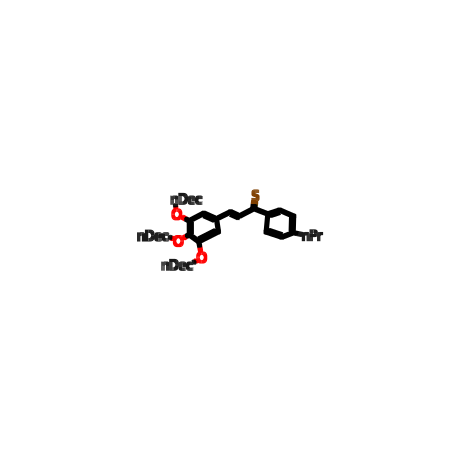 CCCCCCCCCCOc1cc(C=CC(=S)c2ccc(CCC)cc2)cc(OCCCCCCCCCC)c1OCCCCCCCCCC